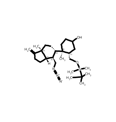 C=C1CC[C@H]2[C@H](CN=[N+]=[N-])[C@@H]([C@@]3(C)CCC(O)C[C@@H]3CO[Si](C)(C)C(C)(C)C)CC[C@]12C